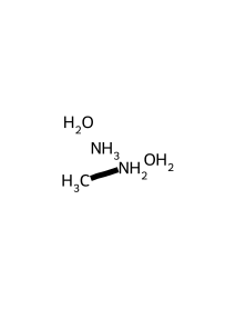 CN.N.O.O